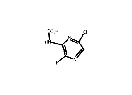 O=C(O)Nc1nc(Cl)cnc1F